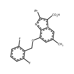 Cc1cc(OCc2c(F)cccc2F)c2nc(C(C)C)c(C(=O)O)n2c1